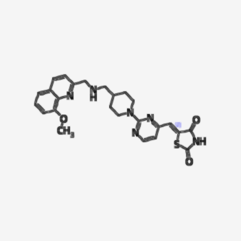 COc1cccc2ccc(CNCC3CCN(c4nccc(/C=C5\SC(=O)NC5=O)n4)CC3)nc12